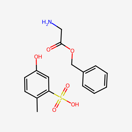 Cc1ccc(O)cc1S(=O)(=O)O.NCC(=O)OCc1ccccc1